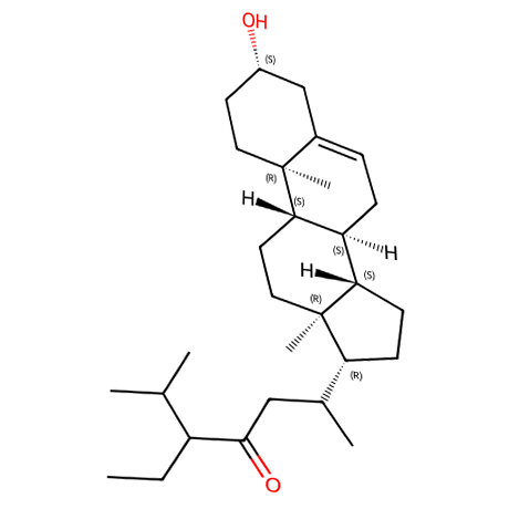 CCC(C(=O)CC(C)[C@H]1CC[C@H]2[C@@H]3CC=C4C[C@@H](O)CC[C@]4(C)[C@H]3CC[C@]12C)C(C)C